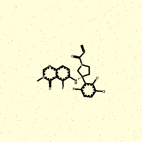 C=CC(=O)N1CC[C@@](Nc2ccc3ncn(C)c(=O)c3c2F)(c2c(F)ccc(Cl)c2Cl)C1